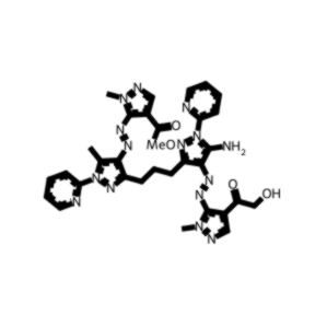 COC(=O)c1cnn(C)c1/N=N/c1c(CCCc2nn(-c3ccccn3)c(N)c2/N=N/c2c(C(=O)CO)cnn2C)nn(-c2ccccn2)c1C